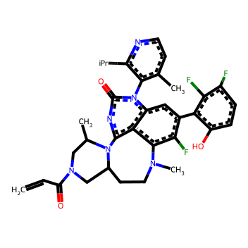 C=CC(=O)N1CC(C)N2c3nc(=O)n(-c4c(C)ccnc4C(C)C)c4cc(-c5c(O)ccc(F)c5F)c(F)c(c34)N(C)CCC2C1